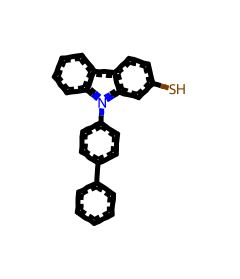 Sc1ccc2c3ccccc3n(-c3ccc(-c4ccccc4)cc3)c2c1